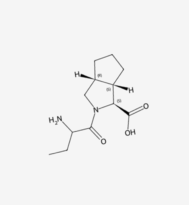 CCC(N)C(=O)N1C[C@@H]2CCC[C@@H]2[C@H]1C(=O)O